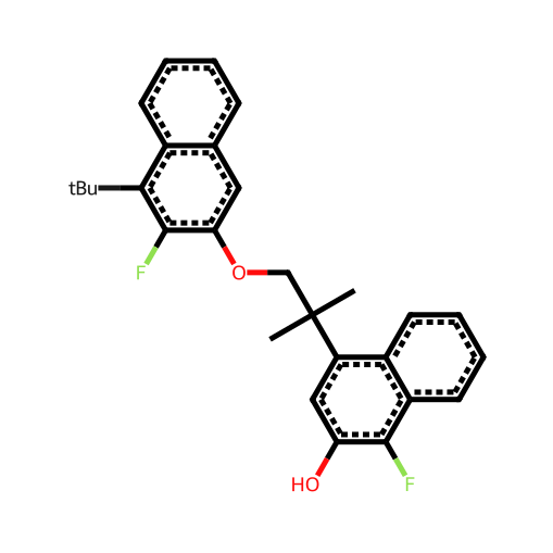 CC(C)(C)c1c(F)c(OCC(C)(C)c2cc(O)c(F)c3ccccc23)cc2ccccc12